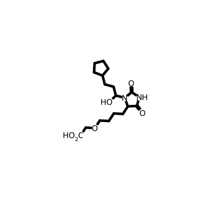 O=C(O)COCCCCC1C(=O)NC(=O)N1C(O)CCC1CCCC1